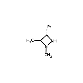 CC(C)[C@@H]1NN(C)C1C